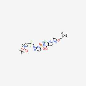 CC(C)(C)OC(=O)N1CC(CC(F)(F)CNc2cccc(S(=O)(=O)NC(=O)c3ccc(-n4ccc(OCCC5C6(CC6)C56CC6)n4)nc3Cl)n2)CC1(C)C